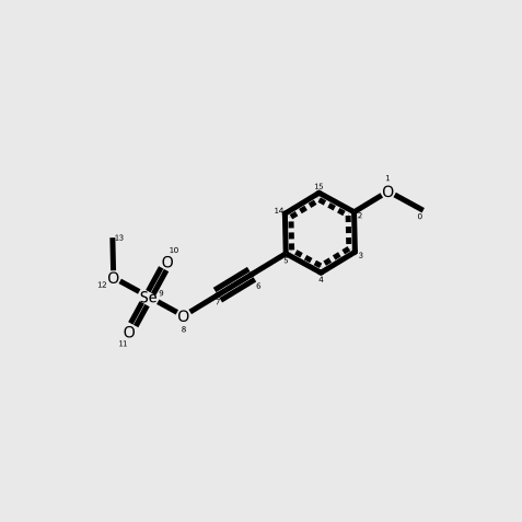 COc1ccc(C#CO[Se](=O)(=O)OC)cc1